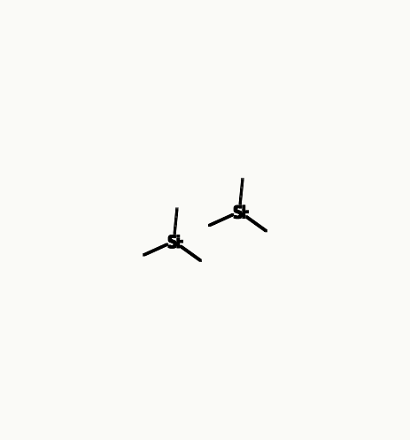 C[Si](C)C.C[Si](C)C